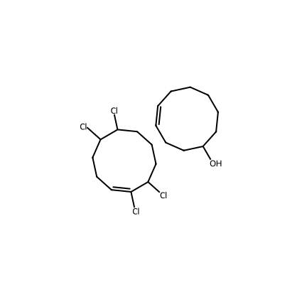 ClC1=CCCC(Cl)C(Cl)CCCC1Cl.OC1CCC=CCCCCC1